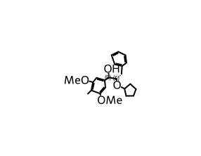 COc1cc([C@@H](O)[C@H](Cc2ccccc2)OC2CCCC2)cc(OC)c1C